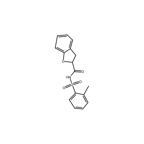 Cc1ccccc1S(=O)(=O)NC(=O)C1Cc2ccccc2O1